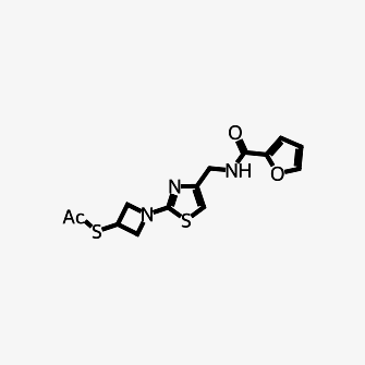 CC(=O)SC1CN(c2nc(CNC(=O)c3ccco3)cs2)C1